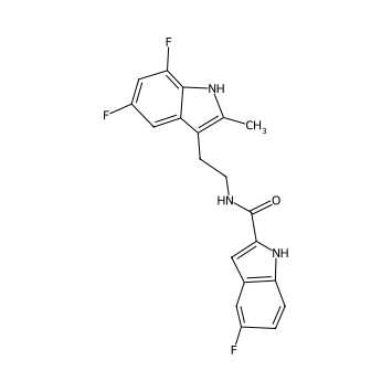 Cc1[nH]c2c(F)cc(F)cc2c1CCNC(=O)c1cc2cc(F)ccc2[nH]1